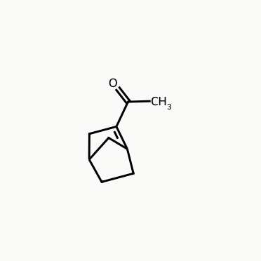 CC(=O)C1=C2CCC(C2)C1